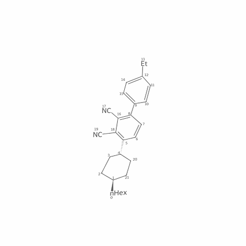 CCCCCC[C@H]1CC[C@H](c2ccc(-c3ccc(CC)cc3)c(C#N)c2C#N)CC1